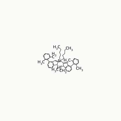 CCCCC[Si]1(CCCCC)C2=Cc3c(-c4c(C)cccc4C)cccc3[CH]2[Hf]([CH3])([CH3])[CH]2C1=Cc1c(-c3c(C)cccc3C)cccc12